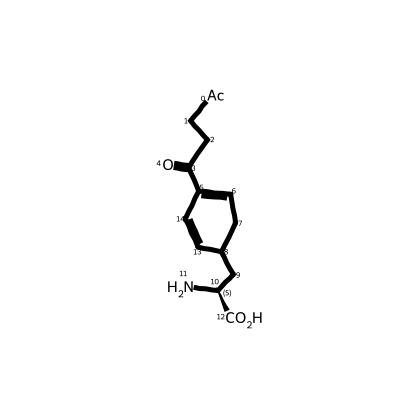 CC(=O)CCC(=O)C1=CCC(C[C@H](N)C(=O)O)C=C1